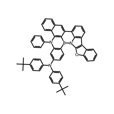 CC(C)(C)c1ccc(N(c2ccc(C(C)(C)C)cc2)c2ccc3c(c2)N(c2ccccc2)c2c4c(cc5ccccc25)-c2cccc5c6c7ccccc7oc6n(c25)B34)cc1